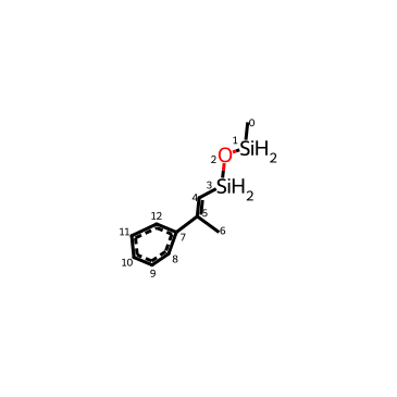 C[SiH2]O[SiH2]C=C(C)c1ccccc1